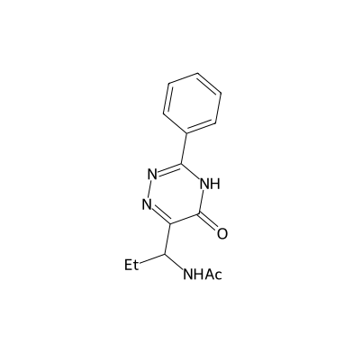 CCC(NC(C)=O)c1nnc(-c2ccccc2)[nH]c1=O